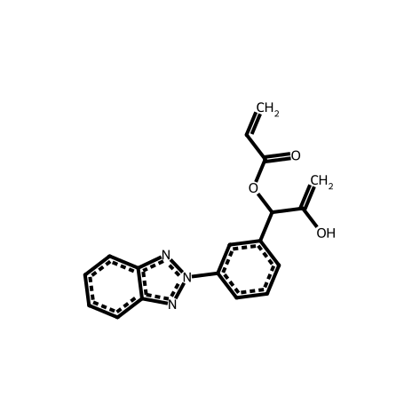 C=CC(=O)OC(C(=C)O)c1cccc(-n2nc3ccccc3n2)c1